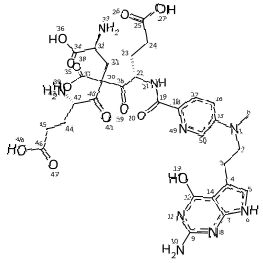 CN(CCc1c[nH]c2nc(N)nc(O)c12)c1ccc(C(=O)N[C@@H](CCC(=O)O)C(=O)C(C[C@H](N)C(=O)O)(C(=O)O)C(=O)[C@@H](N)CCC(=O)O)nc1